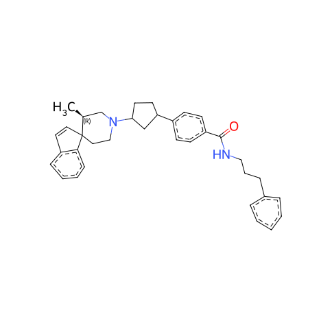 C[C@H]1CN(C2CCC(c3ccc(C(=O)NCCCc4ccccc4)cc3)C2)CCC12C=Cc1ccccc12